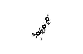 O=C(Nc1ccc(Oc2ncnc3cc(F)ccc23)cc1)Nc1ccc(Br)c(C(F)(F)F)c1